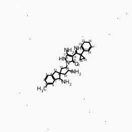 Cc1ccc2c(c1)C(N)C(CCN)(CCn1[nH]c(N)c(C(=N)C3(C4=CCCC=C4)CC3)c1=O)C2